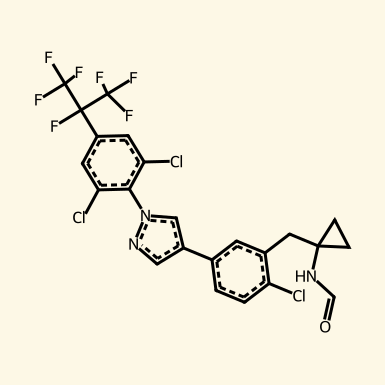 O=CNC1(Cc2cc(-c3cnn(-c4c(Cl)cc(C(F)(C(F)(F)F)C(F)(F)F)cc4Cl)c3)ccc2Cl)CC1